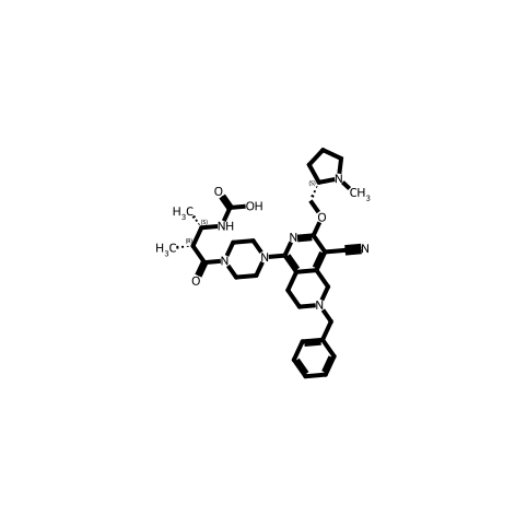 C[C@H](NC(=O)O)[C@@H](C)C(=O)N1CCN(c2nc(OC[C@@H]3CCCN3C)c(C#N)c3c2CCN(Cc2ccccc2)C3)CC1